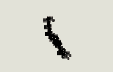 CC(C)NC(=O)CCC[C@H]1CCC2C3CCC4CC(NCCCNCCCNN)CCC4C3CC[C@@]21C